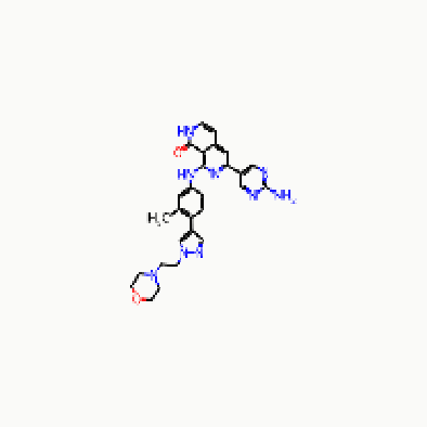 Cc1cc(Nc2nc(-c3cnc(N)nc3)cc3cc[nH]c(=O)c23)ccc1-c1cnn(CCN2CCOCC2)c1